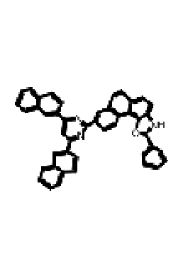 c1ccc(C2Nc3ccc4ccc5cc(-c6nc(-c7ccc8ccccc8c7)cc(-c7ccc8ccccc8c7)n6)ccc5c4c3O2)cc1